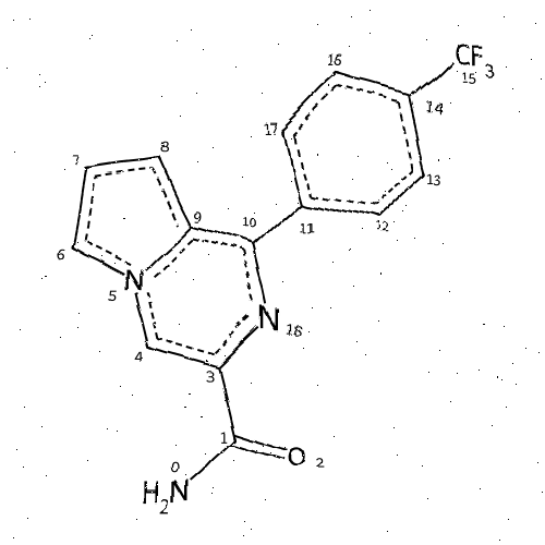 NC(=O)c1cn2cccc2c(-c2ccc(C(F)(F)F)cc2)n1